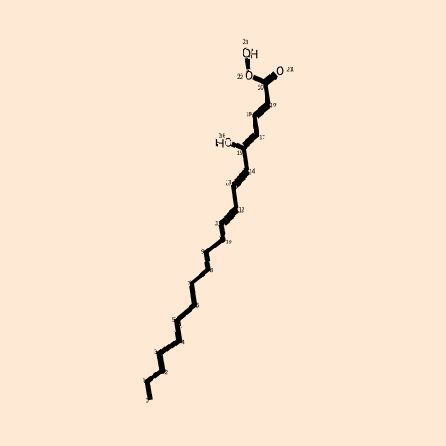 CCCCCCCCCCCC=CC=CC(O)=CC=CC(=O)OO